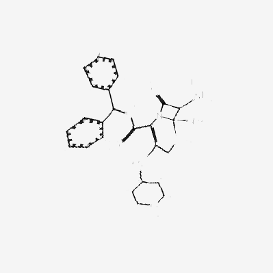 Cl.NC1C(=O)N2C(C(=O)OC(c3ccccc3)c3ccccc3)=C(SC3CCOCC3)CS[C@@H]12